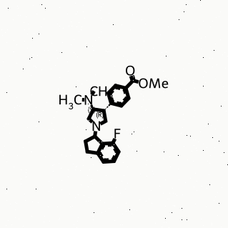 COC(=O)c1ccc([C@@H]2CN(C3CCc4cccc(F)c43)C[C@H]2N(C)C)cc1